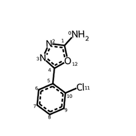 Nc1nnc(-c2ccccc2Cl)o1